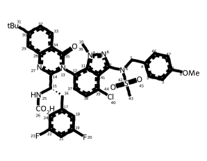 COc1ccc(CN(c2nn(C)c3c(-n4c([C@H](Cc5cc(F)cc(F)c5)NC(=O)O)nc5cc(C(C)(C)C)ccc5c4=O)ccc(Cl)c23)S(C)(=O)=O)cc1